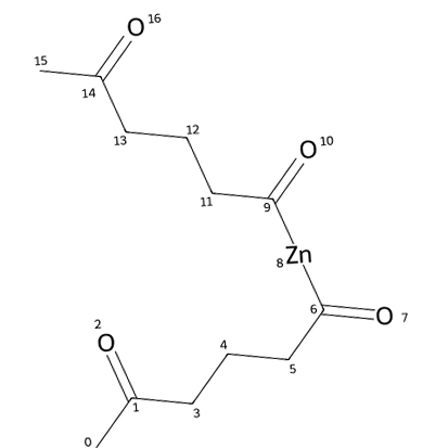 CC(=O)CCC[C](=O)[Zn][C](=O)CCCC(C)=O